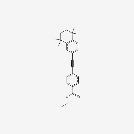 CCOC(=O)c1ccc(C#Cc2ccc3c(c2)C(C)(C)CCC3(C)C)cc1